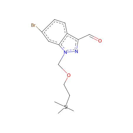 C[Si](C)(C)CCOCn1nc(C=O)c2ccc(Br)cc21